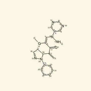 C=C(C(=O)/C(=C\N(N)c1cncnc1)OC)C1CC=NN1c1ccccc1